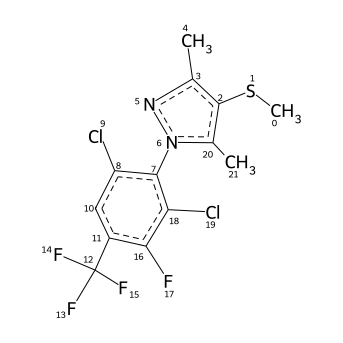 CSc1c(C)nn(-c2c(Cl)cc(C(F)(F)F)c(F)c2Cl)c1C